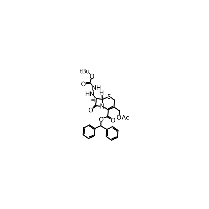 CC(=O)OCC1=C(C(=O)OC(c2ccccc2)c2ccccc2)N2C(=O)[C@@H](NNC(=O)OC(C)(C)C)[C@@H]2SC1